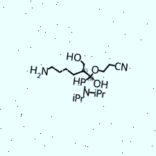 CC(C)N(P[C@@](O)(OCCC#N)[C@H](CO)CCCCN)C(C)C